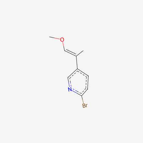 COC=C(C)c1ccc(Br)nc1